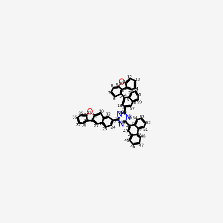 c1ccc2c(-c3cccc4oc5ccccc5c34)cc(-c3nc(-c4ccc5cc6c(cc5c4)oc4ccccc46)nc(-c4cc5ccccc5c5ccccc45)n3)cc2c1